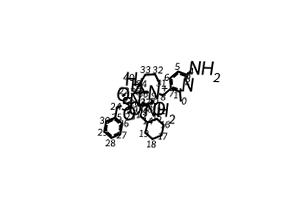 Cc1nc(N)ccc1C[N+]1(C(=O)[C@@H](CC2CCCCC2)NS(=O)(=O)Cc2ccccc2)CCC[C@@H]2C[C@@]21C(N)=O